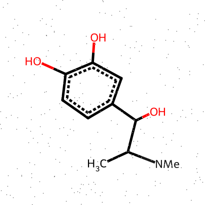 CNC(C)C(O)c1ccc(O)c(O)c1